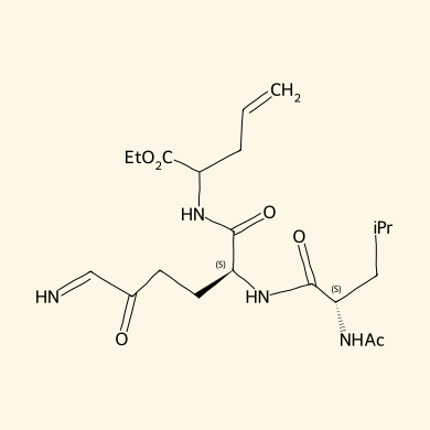 C=CCC(NC(=O)[C@H](CCC(=O)C=N)NC(=O)[C@H](CC(C)C)NC(C)=O)C(=O)OCC